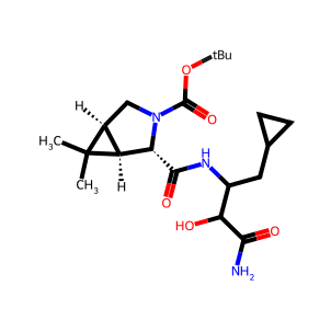 CC(C)(C)OC(=O)N1C[C@H]2[C@@H]([C@H]1C(=O)NC(CC1CC1)C(O)C(N)=O)C2(C)C